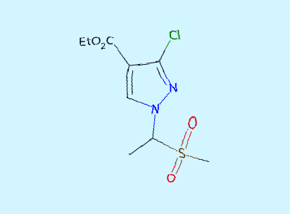 CCOC(=O)c1cn(C(C)S(C)(=O)=O)nc1Cl